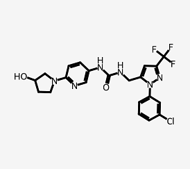 O=C(NCc1cc(C(F)(F)F)nn1-c1cccc(Cl)c1)Nc1ccc(N2CCC(O)C2)nc1